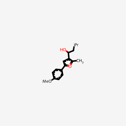 COc1ccc(-c2cc(C(O)CC(C)C)c(C)o2)cc1